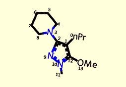 CCCc1c(N2CCCCC2)nn(C)c1OC